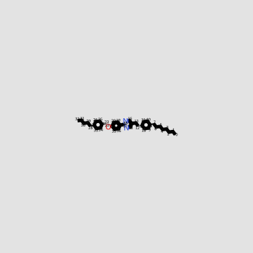 CCCCCCCC[C@H]1CC[C@H](CCc2cnc(-c3ccc(OC[C@H]4CC[C@H](CCCCC)CC4)cc3)nc2)CC1